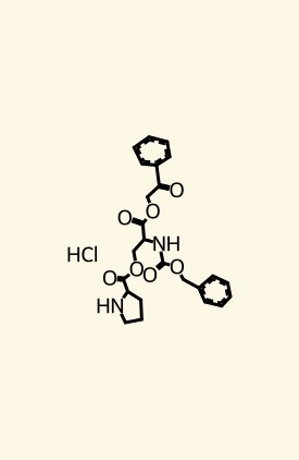 Cl.O=C(NC(COC(=O)C1CCCN1)C(=O)OCC(=O)c1ccccc1)OCc1ccccc1